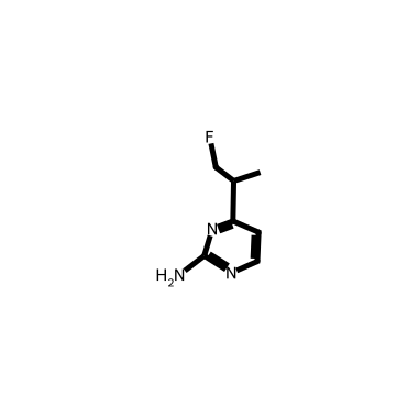 CC(CF)c1ccnc(N)n1